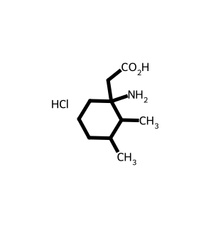 CC1CCCC(N)(CC(=O)O)C1C.Cl